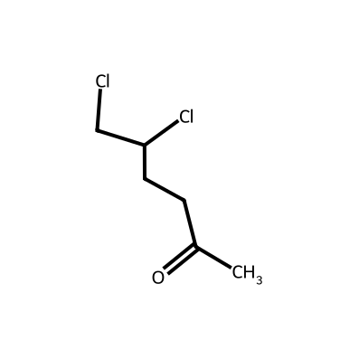 CC(=O)CCC(Cl)CCl